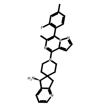 Cc1ccc(-c2c(C)nc(N3CCC4(CC3)Cc3ncccc3[C@H]4N)c3ccnn23)c(F)c1